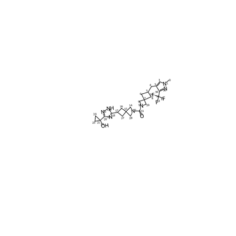 Cn1cc(CC2CC3(C2)CN(C(=O)N2CC4(CC(c5nc(C6(O)CC6)n[nH]5)C4)C2)C3)c(C(F)(F)F)n1